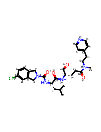 CC(C)C[C@H](NC(=O)N1Cc2ccc(Cl)cc2C1)C(=O)N[C@H](C=O)CCC(=O)N(C)CCc1ccncc1